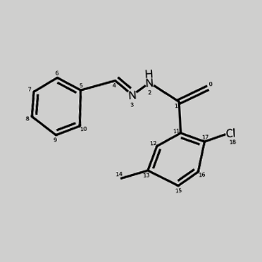 C=C(N/N=C/c1ccccc1)c1cc(C)ccc1Cl